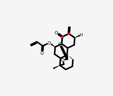 C=CC(=O)O[C@@H]1CC2[C@@]3(C)CCC[C@@]2(C(=O)OC3)C2C[C@@H]3CCC21C(=O)C3=C